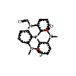 CN(C=O)c1ccccc1P(c1ccccc1N(C)C=O)c1ccccc1N(C)C=O